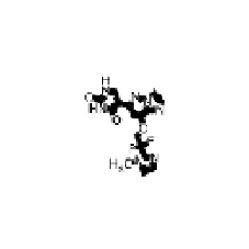 Cn1ccnc1C(F)(F)COc1cc(-c2c[nH]c(=O)[nH]c2=O)nn2ccnc12